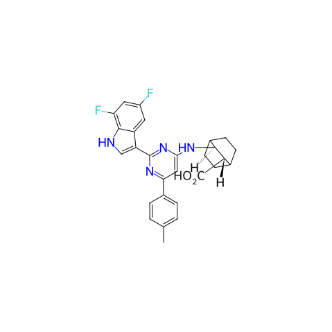 Cc1ccc(-c2cc(N[C@H]3C4CCC(CC4)[C@@H]3C(=O)O)nc(-c3c[nH]c4c(F)cc(F)cc34)n2)cc1